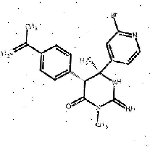 C=C(C)c1ccc([C@H]2C(=O)N(C)C(=N)N[C@]2(C)c2ccnc(Br)c2)cc1